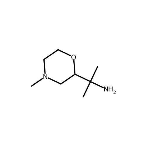 CN1CCOC(C(C)(C)N)C1